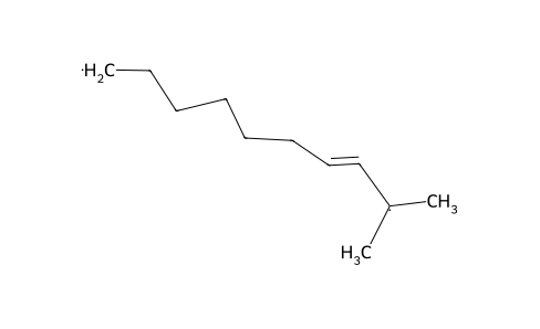 [CH2]CCCCCC=C[C](C)C